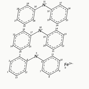 [Fe+3].c1ccc([N-]c2ccccc2)cc1.c1ccc([N-]c2ccccc2)cc1.c1ccc([N-]c2ccccc2)cc1